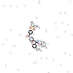 Cc1ccc2c(c1)C1(CC3(CCN(C(=O)c4ccc(S(=O)(=O)C(C)C)cc4)CC3)O2)N[C@@H]1OC(C)C